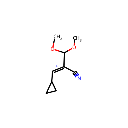 COC(OC)/C(C#N)=C/C1CC1